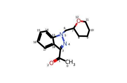 CC(=O)c1nn(CC2CCCCO2)c2ccccc12